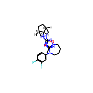 Cc1noc(N2C[C@H]3CC[C@@H](C2)[C@H]3Nc2nc3n(n2)CCCCN3c2ccc(F)c(F)c2)n1